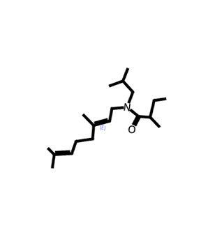 CCC(C)C(=O)N(C/C=C(\C)CCC=C(C)C)CC(C)C